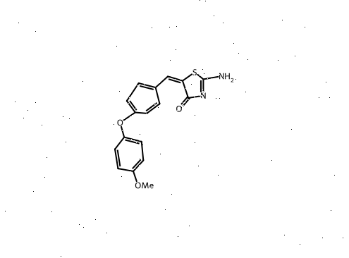 COc1ccc(Oc2ccc(C=C3SC(N)=NC3=O)cc2)cc1